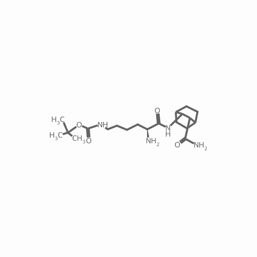 CC(C)(C)OC(=O)NCCCC[C@H](N)C(=O)NC1C2CCC(CC2)C1C(N)=O